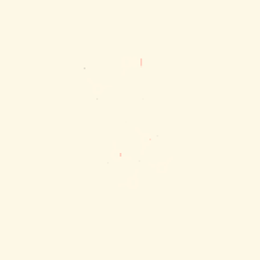 CCOC(OC)(OC)OCCC(O)OC